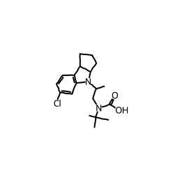 CC(CN(C(=O)O)C(C)(C)C)N1c2cc(Cl)ccc2C2CCCC21